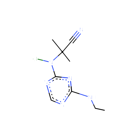 CCNc1ncnc(N(Cl)C(C)(C)C#N)n1